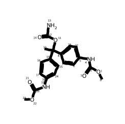 COC(=O)Nc1ccc(C(C)(OC(N)=O)c2ccc(NC(=O)OC)cc2)cc1